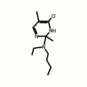 CCCCN(CC)C1(C)N=CC(C)=C(Cl)N1